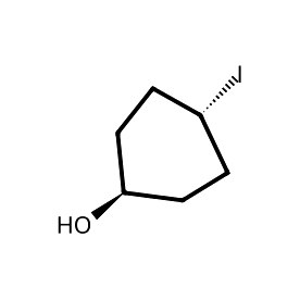 O[C@H]1CC[C@H](I)CC1